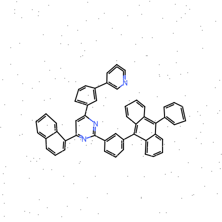 C1=C=NC=C(c2cccc(-c3cc(-c4cccc5ccccc45)nc(-c4cccc(-c5c6ccccc6c(-c6ccccc6)c6ccccc56)c4)n3)c2)C=1